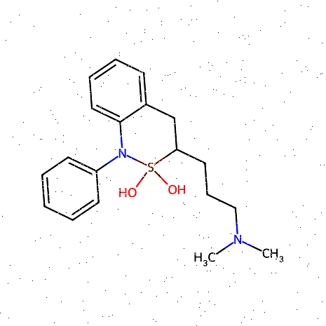 CN(C)CCCC1Cc2ccccc2N(c2ccccc2)S1(O)O